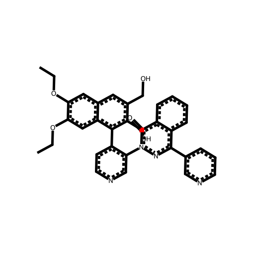 CCOc1cc2cc(CO)c(CO)c(-c3ccncc3-n3nc(-c4cccnc4)c4ccccc4c3=O)c2cc1OCC